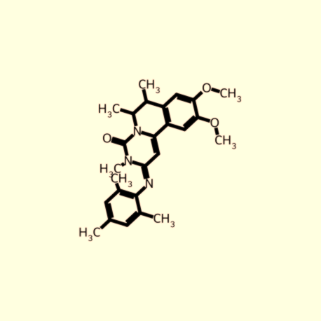 COc1cc2c(cc1OC)C(C)C(C)n1c-2c/c(=N/c2c(C)cc(C)cc2C)n(C)c1=O